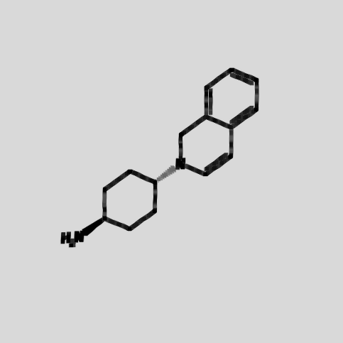 N[C@H]1CC[C@H](N2C=Cc3ccccc3C2)CC1